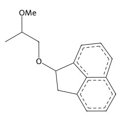 COC(C)COC1Cc2cccc3cccc1c23